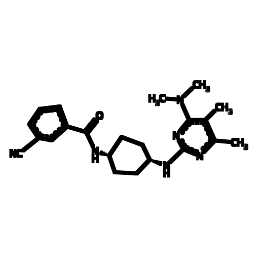 Cc1nc(N[C@H]2CC[C@@H](NC(=O)c3cccc(C#N)c3)CC2)nc(N(C)C)c1C